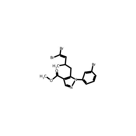 COC(=O)c1cnn(-c2cccc(Br)c2)c1CC(C)C=C(Br)Br